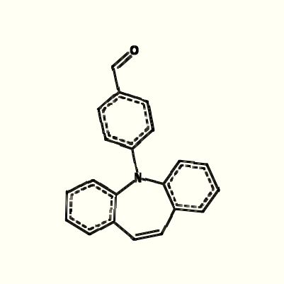 O=Cc1ccc(N2c3ccccc3C=Cc3ccccc32)cc1